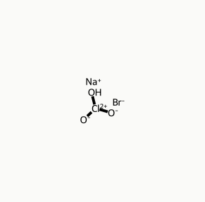 [Br-].[Na+].[O-][Cl+2]([O-])O